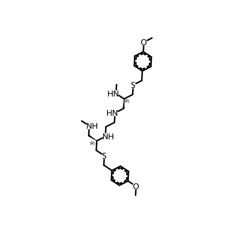 CNC[C@H](CSCc1ccc(OC)cc1)NCCNC[C@H](CSCc1ccc(OC)cc1)NC